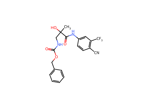 CC(O)(CNC(=O)OCc1ccccc1)C(=O)Nc1ccc(C#N)c(C(F)(F)F)c1